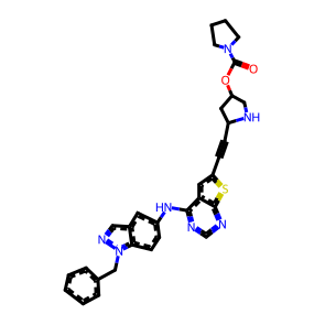 O=C(OC1CNC(C#Cc2cc3c(Nc4ccc5c(cnn5Cc5ccccc5)c4)ncnc3s2)C1)N1CCCC1